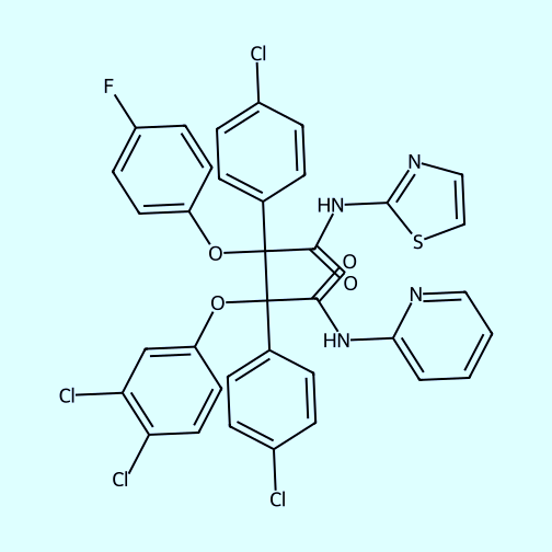 O=C(Nc1ccccn1)C(Oc1ccc(Cl)c(Cl)c1)(c1ccc(Cl)cc1)C(Oc1ccc(F)cc1)(C(=O)Nc1nccs1)c1ccc(Cl)cc1